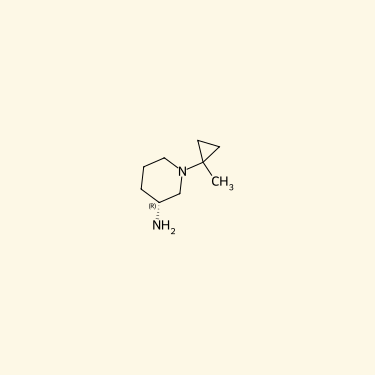 CC1(N2CCC[C@@H](N)C2)CC1